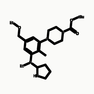 CCOCc1cc(N2CCN(C(=O)OC(C)(C)C)CC2)c(C)c(N(CC)C2CCCN2)c1